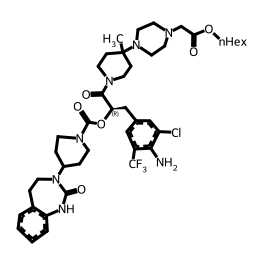 CCCCCCOC(=O)CN1CCN(C2(C)CCN(C(=O)[C@@H](Cc3cc(Cl)c(N)c(C(F)(F)F)c3)OC(=O)N3CCC(N4CCc5ccccc5NC4=O)CC3)CC2)CC1